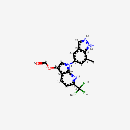 Cc1cc(-n2cc(OC=O)c3ccc(C(F)(F)F)nc32)cc2cn[nH]c12